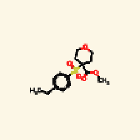 CCc1ccc(S(=O)(=O)C2(C(=O)OC)CCOCC2)cc1